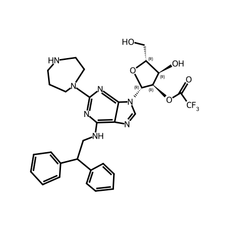 O=C(O[C@@H]1[C@H](O)[C@@H](CO)O[C@H]1n1cnc2c(NCC(c3ccccc3)c3ccccc3)nc(N3CCCNCC3)nc21)C(F)(F)F